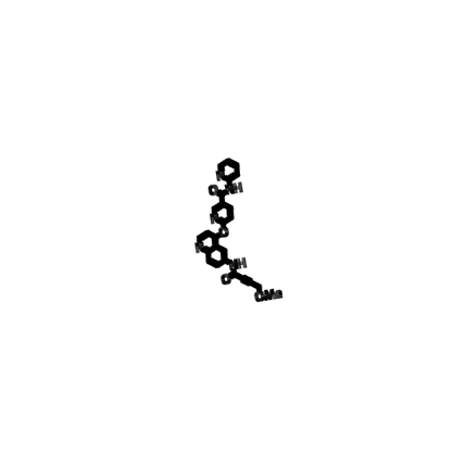 COCC#CC(=O)Nc1ccc2nccc(Oc3ccc(C(=O)Nc4ccccn4)cn3)c2c1